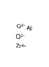 [Al].[O-2].[O-2].[Zr+4]